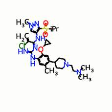 C=C(Cl)/C(=N\C(=N)Nc1cc(C)c(C2CCN(CCN(C)C)CC2)cc1OC1CC1)Nc1cn(C)nc1S(=O)(=O)C(C)C